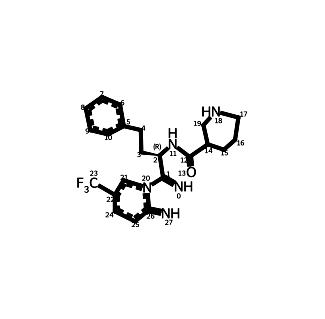 N=C([C@@H](CCc1ccccc1)NC(=O)C1CCCNC1)n1cc(C(F)(F)F)ccc1=N